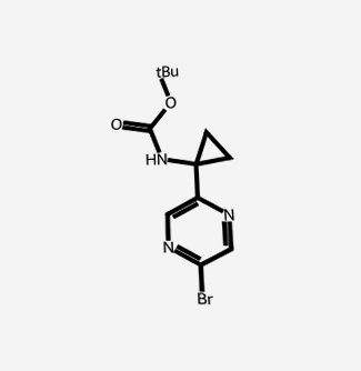 CC(C)(C)OC(=O)NC1(c2cnc(Br)cn2)CC1